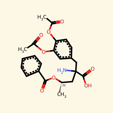 CC(=O)Oc1ccc(CC(N)(C[C@H](C)OC(=O)c2ccccc2)C(=O)O)cc1OC(C)=O